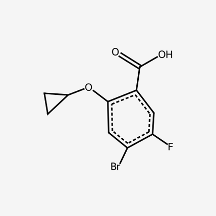 O=C(O)c1cc(F)c(Br)cc1OC1CC1